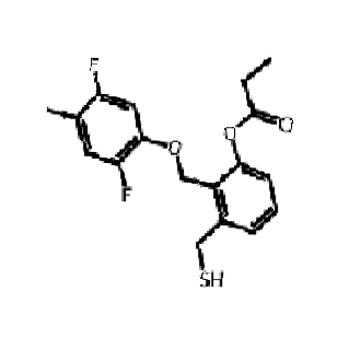 CCC(=O)Oc1cccc(CS)c1COc1cc(F)c(C)cc1F